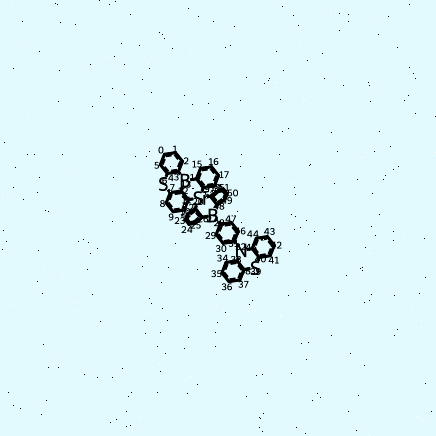 c1ccc2c(c1)Sc1cccc3c1B2c1ccccc1[Si]31c2ccccc2B(c2ccc(N3c4ccccc4Sc4ccccc43)cc2)c2ccccc21